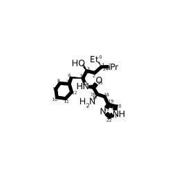 CC[C@@H](C[C@H](O)[C@H](CC1CCCCC1)NC(=O)[C@@H](N)Cc1c[nH]cn1)C(C)C